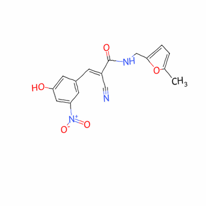 Cc1ccc(CNC(=O)/C(C#N)=C/c2cc(O)cc([N+](=O)[O-])c2)o1